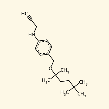 C#CCNc1ccc(COC(C)(C)CCC(C)(C)C)cc1